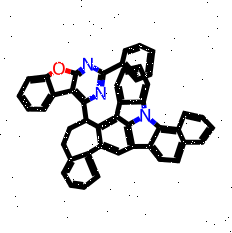 c1ccc(-c2nc(C3CCc4ccccc4-c4cc5c6ccc7ccccc7c6n6c7ccccc7c(c43)c56)c3c(n2)oc2ccccc23)cc1